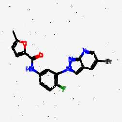 Cc1ccc(C(=O)Nc2ccc(F)c(-n3cc4cc(C(C)C)cnc4n3)c2)o1